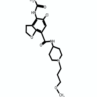 COCCCN1CCC(NC(=O)c2cc(Cl)c(NC(C)=O)c3c2OCC3)CC1